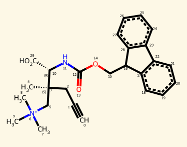 C#CC[C@@](C)(C[N+](C)(C)C)[C@@H](NC(=O)OCC1c2ccccc2-c2ccccc21)C(=O)O